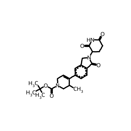 CC1CN(C(=O)OC(C)(C)C)CC=C1c1ccc2c(c1)CN(C1CCC(=O)NC1=O)C2=O